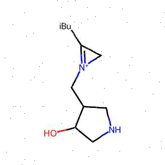 CCC(C)C1=[N+](CC2CNCC2O)C1